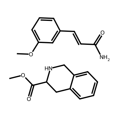 COC(=O)C1Cc2ccccc2CN1.COc1cccc(C=CC(N)=O)c1